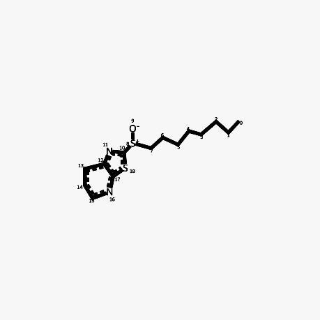 CCCCCCCC[S+]([O-])c1nc2cccnc2s1